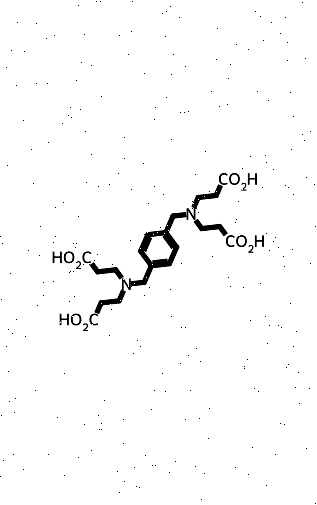 O=C(O)CCN(CCC(=O)O)Cc1ccc(CN(CCC(=O)O)CCC(=O)O)cc1